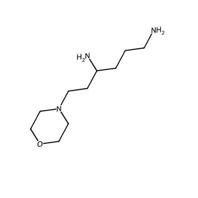 NCCCC(N)CCN1CCOCC1